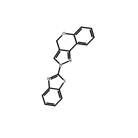 c1ccc2c(c1)OCc1cn(-c3nc4ccccc4s3)nc1-2